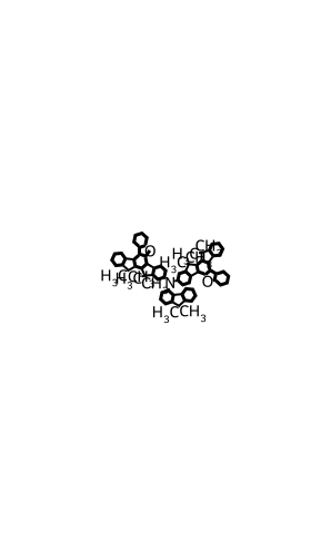 CC1(C)c2ccccc2-c2c(N(c3ccc4c(c3)C(C)(C)c3c5c(c6c(oc7ccccc76)c3-4)-c3ccccc3C5(C)C)c3ccc4c(c3)C(C)(C)c3c5c(c6c(oc7ccccc76)c3-4)-c3ccccc3C5(C)C)cccc21